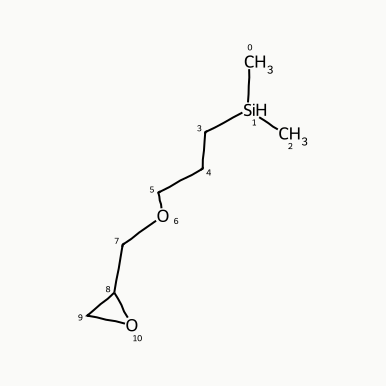 C[SiH](C)CCCOCC1CO1